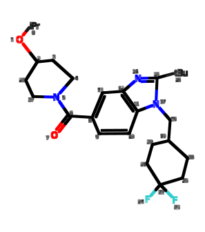 CC(C)OC1CCN(C(=O)c2ccc3c(c2)nc(C(C)(C)C)n3CC2CCC(F)(F)CC2)CC1